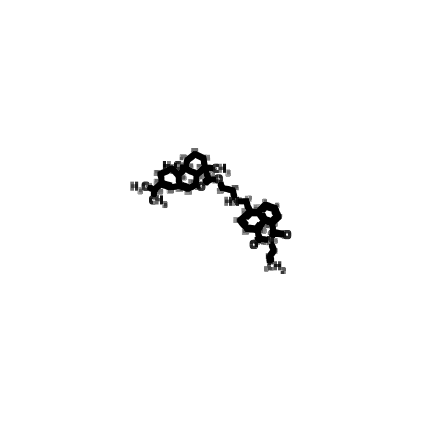 C=CCN1C(=O)c2cccc3c(CNCCOC(=O)C4(C)CCCC5(C)C6CCC(C(C)C)=CC6=CCC45)ccc(c23)C1=O